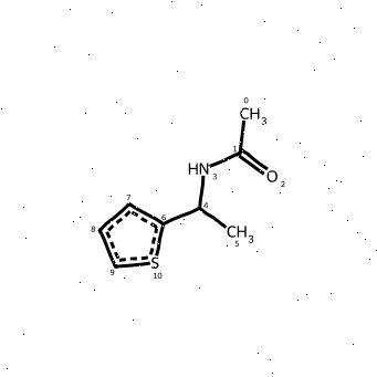 CC(=O)NC(C)c1cccs1